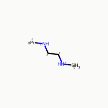 CCCNCCN[SiH3]